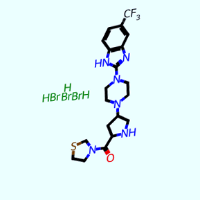 Br.Br.Br.O=C(C1CC(N2CCN(c3nc4cc(C(F)(F)F)ccc4[nH]3)CC2)CN1)N1CCSC1